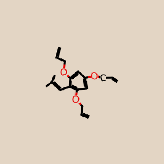 C=CCOc1cc(OCC=C)c(C=C(C)C)c(OCC=C)c1